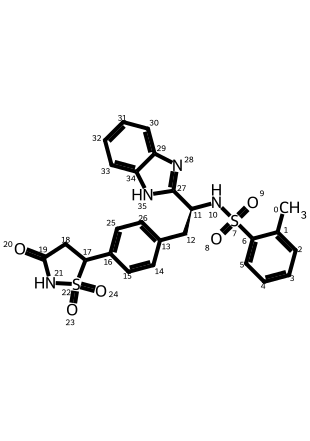 Cc1ccccc1S(=O)(=O)N[C@@H](Cc1ccc(C2CC(=O)NS2(=O)=O)cc1)c1nc2ccccc2[nH]1